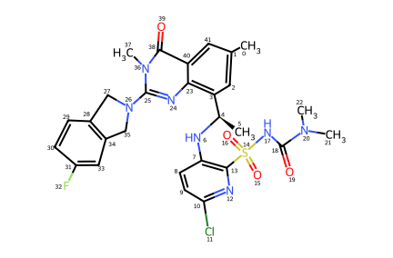 Cc1cc([C@@H](C)Nc2ccc(Cl)nc2S(=O)(=O)NC(=O)N(C)C)c2nc(N3Cc4ccc(F)cc4C3)n(C)c(=O)c2c1